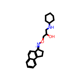 OC(CNC1CCCCC1)CO/N=C1\CCc2c1ccc1ccccc21